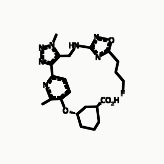 Cc1nc(-c2nnn(C)c2CNc2noc(CCCF)n2)ccc1O[C@H]1CCC[C@H](C(=O)O)C1